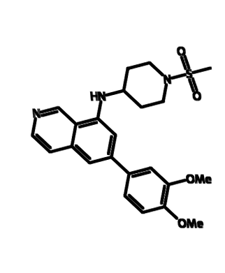 COc1ccc(-c2cc(NC3CCN(S(C)(=O)=O)CC3)c3cnccc3c2)cc1OC